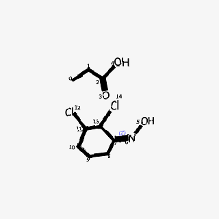 CCC(=O)O.O/N=C1/CCCC(Cl)C1Cl